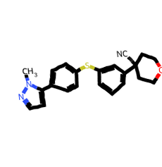 Cn1nccc1-c1ccc(Sc2cccc(C3(C#N)CCOCC3)c2)cc1